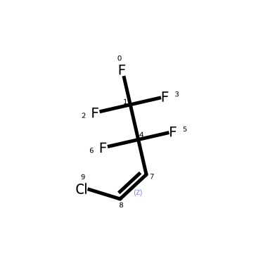 FC(F)(F)C(F)(F)/C=C\Cl